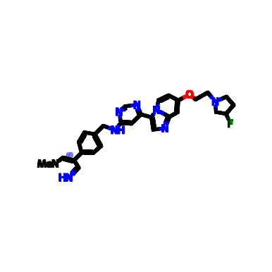 CN/C=C(\C=N)c1ccc(CNc2cc(-c3cnc4cc(OCCN5CCC(F)C5)ccn34)ncn2)cc1